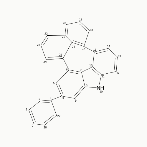 c1ccc(-c2cc3c4c(c2)[nH]c2cccc(c24)-c2cccc4cccc-3c24)cc1